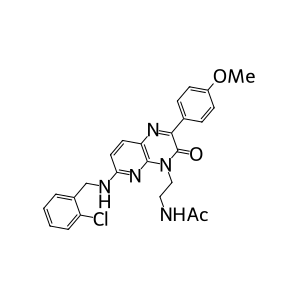 COc1ccc(-c2nc3ccc(NCc4ccccc4Cl)nc3n(CCNC(C)=O)c2=O)cc1